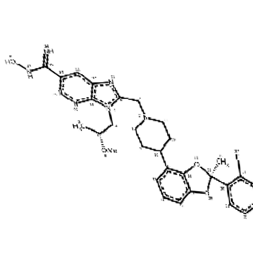 CO[C@H](C)Cn1c(CN2CCC(c3cccc4c3O[C@@](C)(c3ccc(Cl)cc3F)O4)CC2)nc2cc(C(=N)NO)nnc21